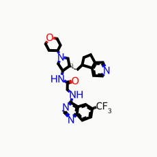 O=C(CNc1ncnc2ccc(C(F)(F)F)cc12)NC1CN(C2CCOCC2)C[C@@H]1CC1CCc2cnccc21